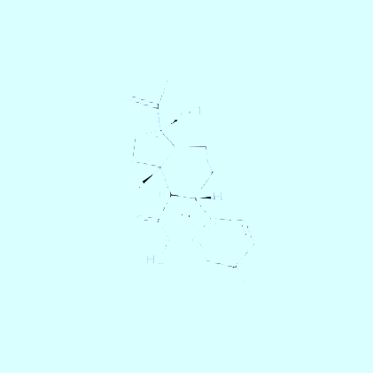 CC(=O)[C@@]1(O)CC[C@H]2[C@@H]3C(=O)C(O)C4=CC(=O)C=C[C@]4(C)[C@H]3CC[C@@]21C